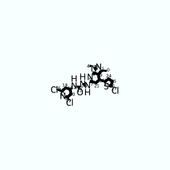 Cc1nn(C)c2nc(NNC(=O)Nc3cc(Cl)nc(Cl)c3)cc(-c3ccc(Cl)s3)c12